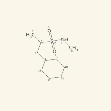 CNS(=O)(=O)C(C)CC1CCCCC1